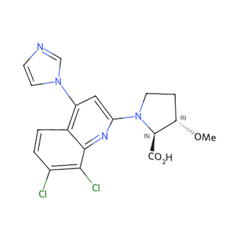 CO[C@H]1CCN(c2cc(-n3ccnc3)c3ccc(Cl)c(Cl)c3n2)[C@@H]1C(=O)O